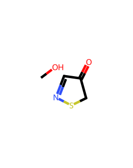 CO.O=C1C=NSC1